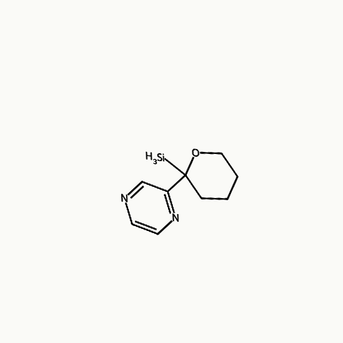 [SiH3]C1(c2cnccn2)CCCCO1